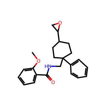 COc1ccccc1C(=O)NCC1(c2ccccc2)CCC(C2CO2)CC1